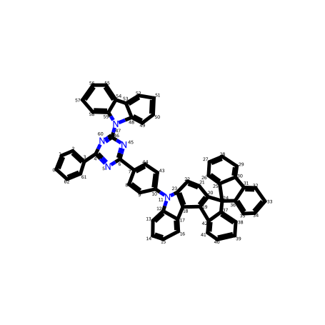 c1ccc(-c2nc(-c3ccc(-n4c5ccccc5c5c6c(ccc54)C4(c5ccccc5-c5ccccc54)c4ccccc4-6)cc3)nc(-n3c4ccccc4c4ccccc43)n2)cc1